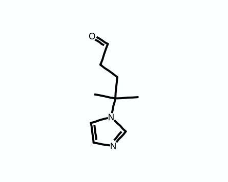 CC(C)(CCC=O)n1ccnc1